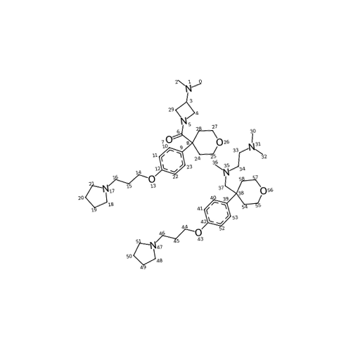 CN(C)C1CN(C(=O)C2(c3ccc(OCCCN4CCCC4)cc3)CCOCC2)C1.CN(C)CCN(C)CC1(c2ccc(OCCCN3CCCC3)cc2)CCOCC1